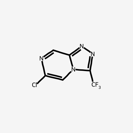 FC(F)(F)c1nnc2cnc(Cl)cn12